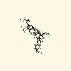 CC(=O)O[C@H]1CC[C@@]2(C)C(CC[C@]3(C)[C@@H]2CC[C@@H]2C4=C(C(C)C)CC[C@]4(C(O)CN4CCN(C)CC4)CC[C@]23C)C1(C)C